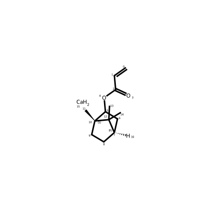 C=CC(=O)OC1C[C@H]2CC[C@@]1(C)C2(C)C.[CaH2]